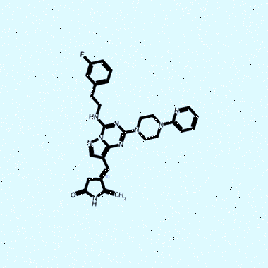 C=C1NC(=O)C/C1=C\c1cnn2c(NCCc3cccc(F)c3)nc(N3CCN(c4ccccn4)CC3)nc12